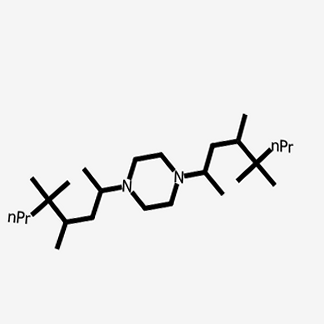 CCCC(C)(C)C(C)CC(C)N1CCN(C(C)CC(C)C(C)(C)CCC)CC1